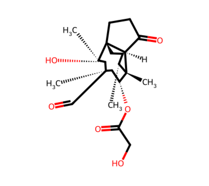 C[C@@H]1CC[C@@]23CCC(=O)[C@H]2[C@]1(C)[C@H](OC(=O)CO)C[C@@](C)(C=O)[C@@H](O)[C@@H]3C